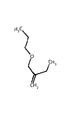 C=C(CC)COCCC